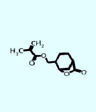 C=C(C)C(=O)OCC1CCC2CC1OC2=O